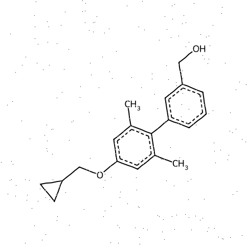 Cc1cc(OCC2CC2)cc(C)c1-c1cccc(CO)c1